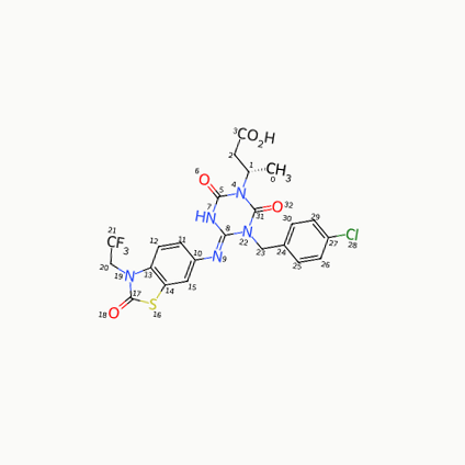 C[C@@H](CC(=O)O)n1c(=O)[nH]/c(=N\c2ccc3c(c2)sc(=O)n3CC(F)(F)F)n(Cc2ccc(Cl)cc2)c1=O